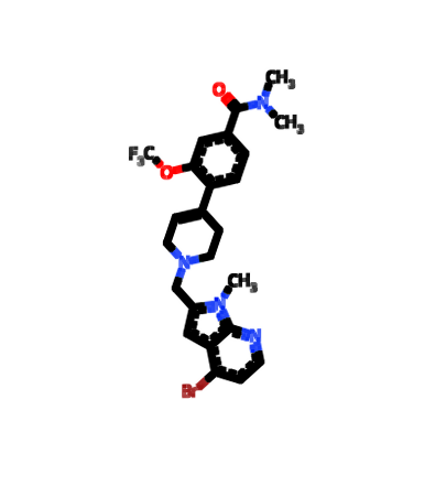 CN(C)C(=O)c1ccc(C2=CCN(Cc3cc4c(Br)ccnc4n3C)CC2)c(OC(F)(F)F)c1